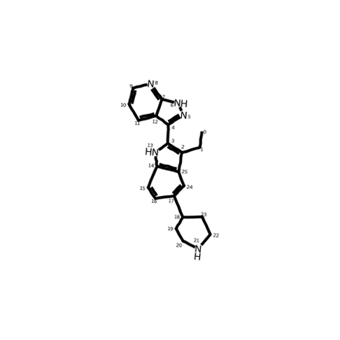 CCc1c(-c2n[nH]c3ncccc23)[nH]c2ccc(C3CCNCC3)cc12